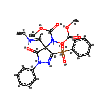 CON=C(C)C1(N(OC(=O)OC(C)(C)C)C(=O)OC(C)(C)C)C(=O)N(c2ccccc2)N=C1S(=O)(=O)c1ccccc1